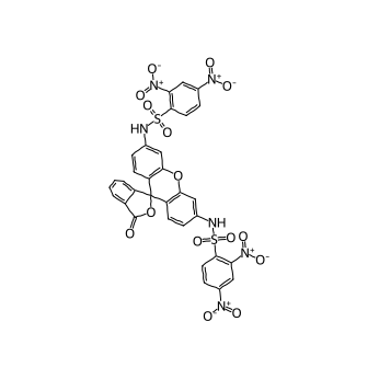 O=C1OC2(c3ccc(NS(=O)(=O)c4ccc([N+](=O)[O-])cc4[N+](=O)[O-])cc3Oc3cc(NS(=O)(=O)c4ccc([N+](=O)[O-])cc4[N+](=O)[O-])ccc32)c2ccccc21